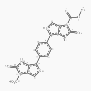 CC(C)(C)OC(=O)n1c(=O)[nH]c2c(-c3ccc(-c4scc5c4[nH]c(=O)n5C(=O)O)cc3)scc21